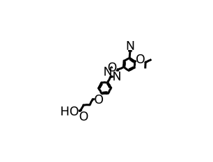 CC(C)Oc1ccc(-c2nc(-c3ccc(OCCCC(=O)O)cc3)no2)cc1C#N